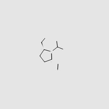 CC[C@@H]1CC[C@@H](CC)N1C(C)C